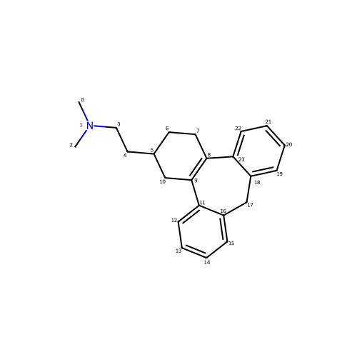 CN(C)CCC1CCC2=C(C1)c1ccccc1Cc1ccccc12